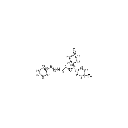 Fc1ccc(C(OCCNCCc2ccccc2)c2ccc(F)cc2)cc1